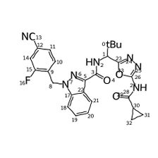 CC(C)(C)C(NC(=O)c1nn(Cc2ccc(C#N)cc2F)c2ccccc12)c1nnc(NC(=O)C2CC2)o1